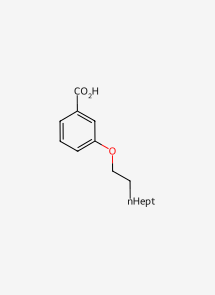 CCCCCCCCCOc1cccc(C(=O)O)c1